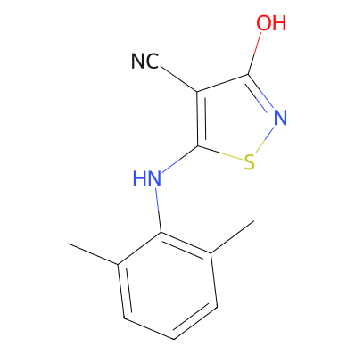 Cc1cccc(C)c1Nc1snc(O)c1C#N